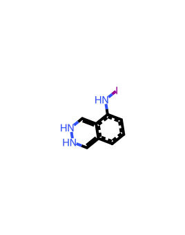 INc1cccc2c1=CNNC=2